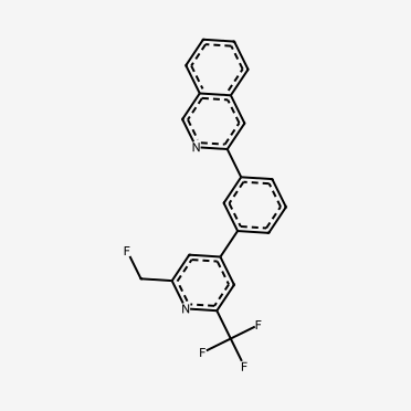 FCc1cc(-c2cccc(-c3cc4ccccc4cn3)c2)cc(C(F)(F)F)n1